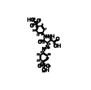 O=C(O)C1NN(c2ccc(S(=O)(=O)O)cc2)C(=O)C1N=Nc1ccc(S(=O)(=O)O)cc1